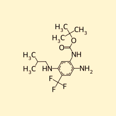 CC(C)CNc1cc(NC(=O)OC(C)(C)C)c(N)cc1C(F)(F)F